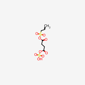 C=CCS(=O)(=O)OC(=O)CCC(=O)OS(=O)(=O)O